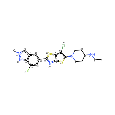 CCNC1CCN(c2sc3nc(-c4cc(F)c5nn(C)cc5c4)sc3c2Cl)CC1